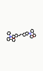 C(=C\c1ccc2cc(N(c3ccccc3)c3ccccc3-c3ccccc3)ccc2c1)/c1ccc2cc(N(c3ccccc3)c3ccccc3-c3ccccc3)ccc2c1